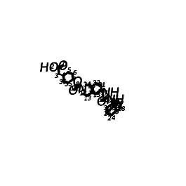 O=C(O)C[C@H]1CC[C@H](OC(=O)N2CCc3cc(NC(=O)NC45CC6CC(CC(C6)C4)C5)ccc3C2)CC1